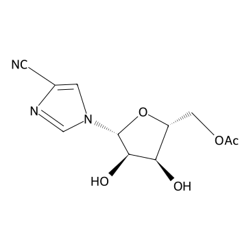 CC(=O)OC[C@H]1O[C@@H](n2cnc(C#N)c2)[C@H](O)[C@@H]1O